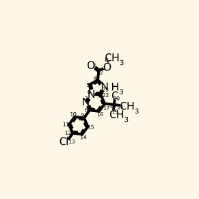 COC(=O)c1cn2nc(-c3ccc(Cl)cc3)cc(C(C)(C)C)c2n1